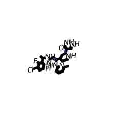 Cc1cccc(N/C(=C\C(=N)NC(C)c2cccc(Cl)c2F)C2=C/C(=C(/C=N)C(N)=O)NC=C2)n1